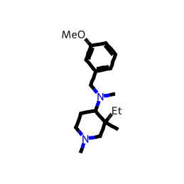 CCC1(C)CN(C)CCC1N(C)Cc1cccc(OC)c1